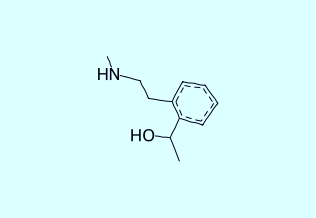 CNCCc1ccccc1C(C)O